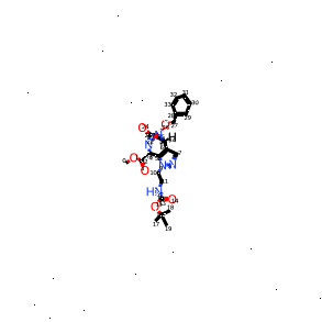 COC(=O)[C@@H]1c2c(cnn2CCNC(=O)OC(C)(C)C)[C@@H]2CN1C(=O)N2OCc1ccccc1